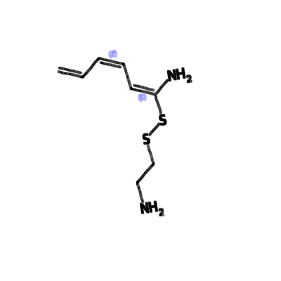 C=C/C=C\C=C(/N)SSCCN